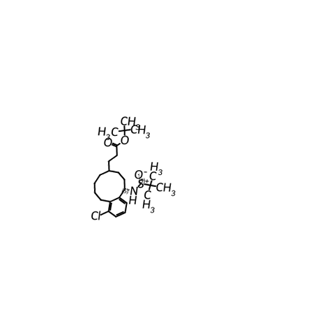 CC(C)(C)OC(=O)CCC1CCCCc2c(Cl)cccc2[C@@H](N[S@+]([O-])C(C)(C)C)CC1